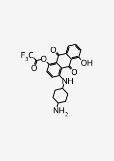 NC1CCC(Nc2ccc(OC(=O)C(F)(F)F)c3c2C(=O)c2c(O)cccc2C3=O)CC1